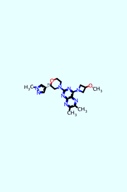 COC1CN(c2nc(N3CCO[C@@H](c4cnn(C)c4)C3)nc3nc(C)c(C)nc23)C1